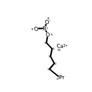 CC(C)CCCCCOB([O-])[O-].[Ca+2]